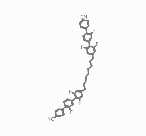 N#Cc1ccc(-c2ccc(-c3c(F)cc(CCCCCCCCCc4cc(F)c(-c5ccc(-c6ccc(C#N)cc6)c(F)c5)c(F)c4)cc3F)cc2F)cc1